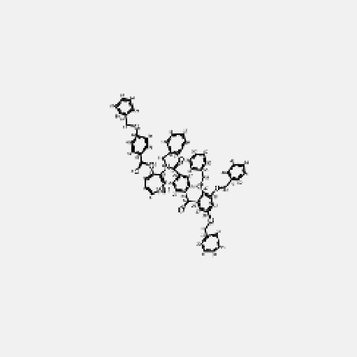 O=C(OC1=CC=CNC=C1N(Cc1ccccc1)C(=O)c1ccc(C(=O)c2cc(OCc3ccccc3)cc(OCc3ccccc3)c2OCc2ccccc2)cc1)c1ccc(OCc2ccccc2)cc1